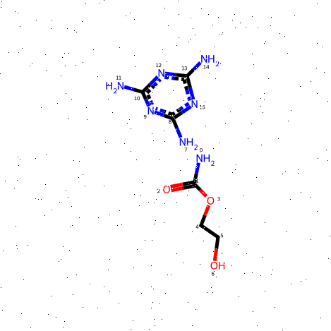 NC(=O)OCCO.Nc1nc(N)nc(N)n1